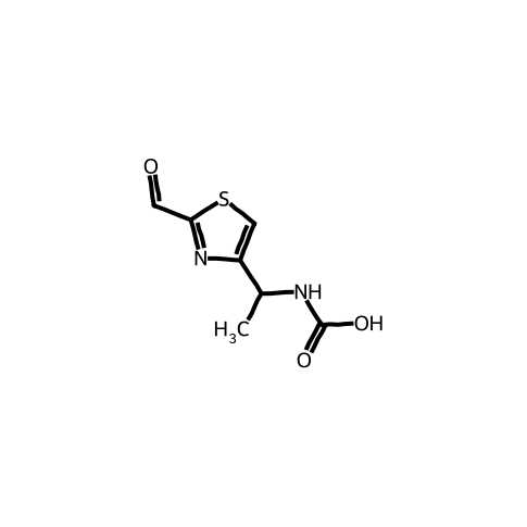 CC(NC(=O)O)c1csc(C=O)n1